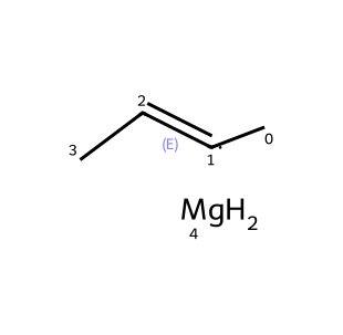 C/[C]=C/C.[MgH2]